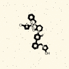 O=C1C(N(Cc2ccccc2)S(=O)(=O)c2ccc(Cl)s2)CCCN1c1ccc(-c2ccccc2CN2CCC(O)C2)cc1F